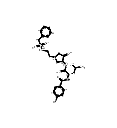 CC(C)C[C@H](NC(=O)c1ccc(F)cc1)C(=O)NC1CN(CCNS(=O)(=O)Cc2ccccc2)CC1=O